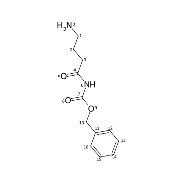 NCCCC(=O)NC(=O)OCc1ccccc1